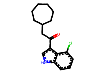 O=C(CC1CCCCCC1)c1c[nH]c2cccc(Cl)c12